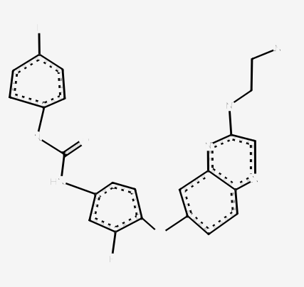 NCCNc1cnc2ccc(Oc3ccc(NC(=O)Nc4ccc(F)cc4)cc3F)cc2n1